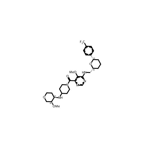 COc1c(NC[C@H]2CCC[C@@H](c3ccc(C(F)(F)F)cc3)O2)ncnc1C(=O)N1CCC(N[C@@H]2CCOC[C@@H]2OC)CC1